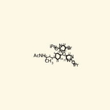 CC(=O)NC(C)CCc1ccc(Oc2cnc(OC(C)C)nc2)cc1.CC(C)Oc1ncc(Br)cn1